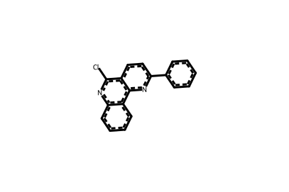 Clc1nc2ccccc2c2nc(-c3ccccc3)ccc12